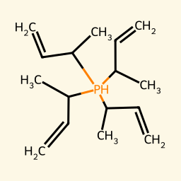 C=CC(C)[PH](C(C)C=C)(C(C)C=C)C(C)C=C